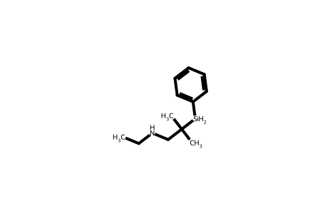 CCNCC(C)(C)[SiH2]c1ccccc1